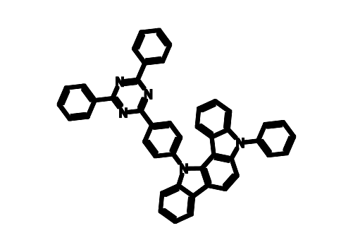 c1ccc(-c2nc(-c3ccccc3)nc(-c3ccc(-n4c5ccccc5c5ccc6c(c7ccccc7n6-c6ccccc6)c54)cc3)n2)cc1